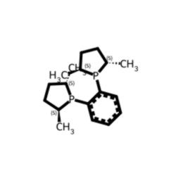 C[C@H]1CC[C@H](C)P1c1ccccc1P1[C@@H](C)CC[C@@H]1C